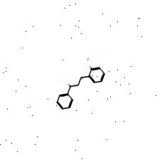 O=C(O)Oc1ccccc1CCC(O)c1ccccc1